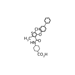 Cc1sc(C)c(C(=O)NC2CCC(C(=O)O)CC2)c1Oc1ccc(-c2ccccc2)cc1